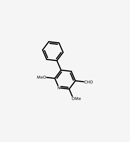 COc1nc(OC)c(-c2ccccc2)cc1C=O